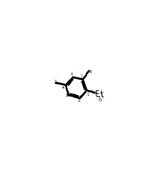 CCc1c[c]c(C)cc1C